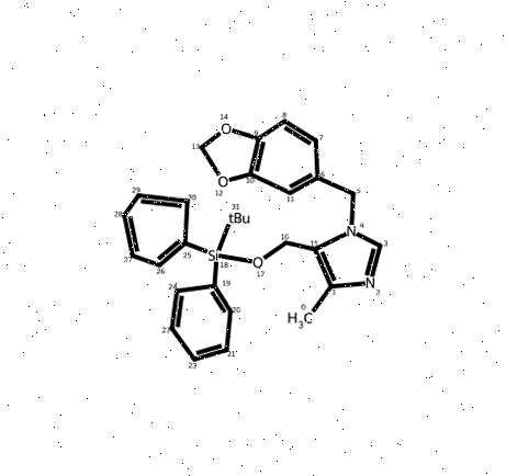 Cc1ncn(Cc2ccc3c(c2)OCO3)c1CO[Si](c1ccccc1)(c1ccccc1)C(C)(C)C